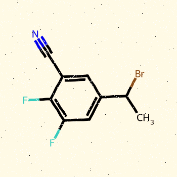 CC(Br)c1cc(F)c(F)c(C#N)c1